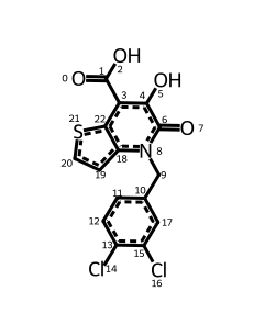 O=C(O)c1c(O)c(=O)n(Cc2ccc(Cl)c(Cl)c2)c2ccsc12